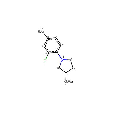 COC1CCN(c2ccc(C(C)(C)C)cc2F)C1